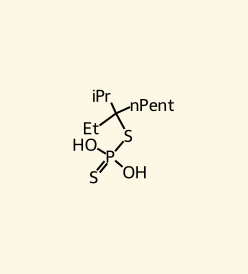 CCCCCC(CC)(SP(O)(O)=S)C(C)C